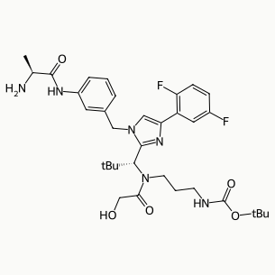 C[C@H](N)C(=O)Nc1cccc(Cn2cc(-c3cc(F)ccc3F)nc2[C@H](N(CCCNC(=O)OC(C)(C)C)C(=O)CO)C(C)(C)C)c1